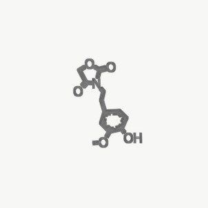 COc1cc(CCN2C(=O)COC2=O)ccc1O